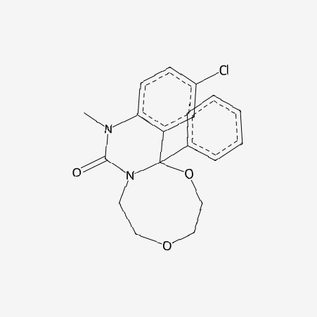 CN1C(=O)N2CCOCCOC2(c2ccccc2)c2cc(Cl)ccc21